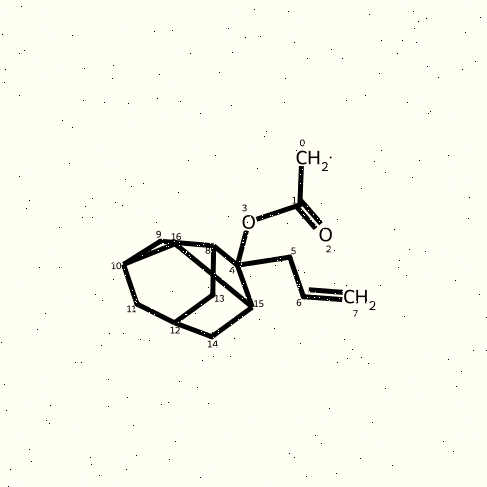 [CH2]C(=O)OC1(CC=C)C2CC3CC(C2)CC1C3